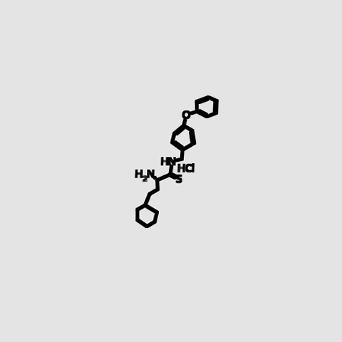 Cl.N[C@H](CCC1CCCCC1)C(=S)NCc1ccc(Oc2ccccc2)cc1